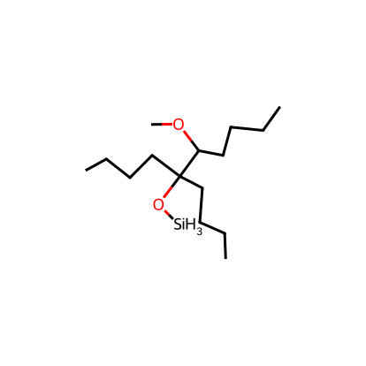 CCCCC(OC)C(CCCC)(CCCC)O[SiH3]